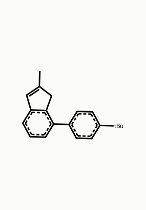 CC1=Cc2cccc(-c3ccc(C(C)(C)C)cc3)c2C1